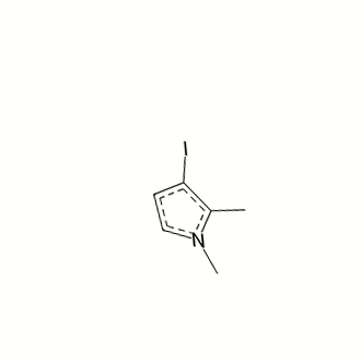 Cc1c(I)ccn1C